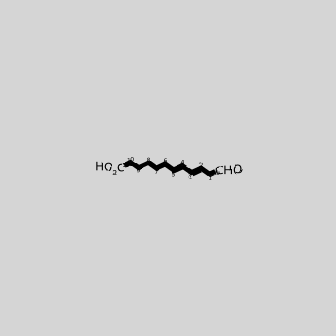 O=CCC=CCCCCCCCC(=O)O